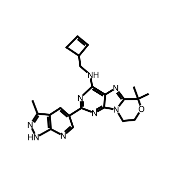 Cc1n[nH]c2ncc(-c3nc(NCC4C=CC4)c4nc5n(c4n3)CCOC5(C)C)cc12